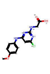 COc1ccc(Nc2cc(Cl)nc(NCC(=O)O)n2)cc1